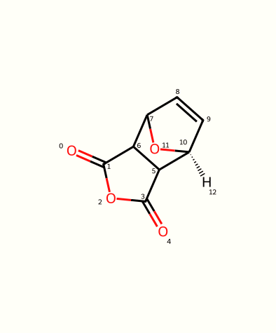 O=C1OC(=O)C2C1C1C=C[C@@H]2O1